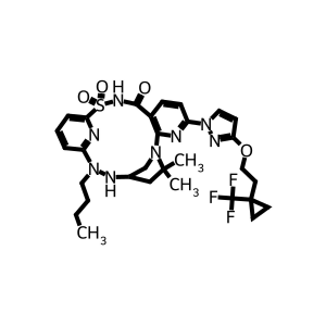 CCCCN1NC2CN(c3nc(-n4ccc(OCCC5(C(F)(F)F)CC5)n4)ccc3C(=O)NS(=O)(=O)c3cccc1n3)C(C)(C)C2